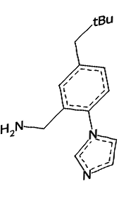 CC(C)(C)Cc1ccc(-n2ccnc2)c(CN)c1